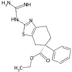 CCOC(=O)[C@@]1(c2ccccc2)CCc2nc(NC(=N)N)sc2C1